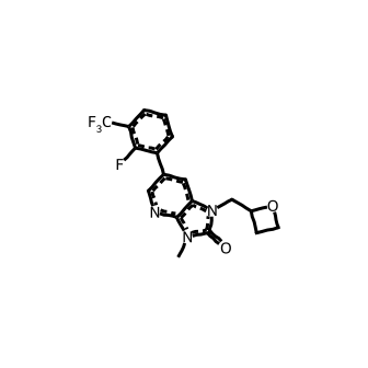 Cn1c(=O)n(CC2CCO2)c2cc(-c3cccc(C(F)(F)F)c3F)cnc21